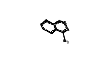 Nc1nncc2ccccc12